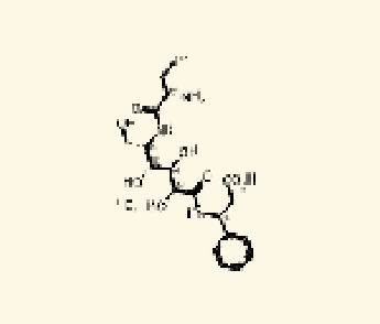 CC(C)C[C@H](N)C(=O)N[C@@H](CO)[C@@H](O)[C@@H](O)[C@H](O)C(=O)N[C@@H](CC(=O)O)c1ccccc1.Cl